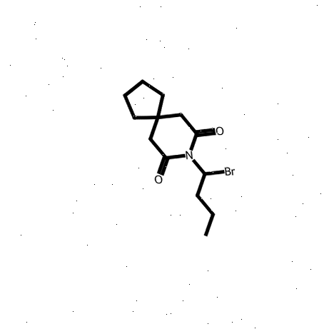 CCCC(Br)N1C(=O)CC2(CCCC2)CC1=O